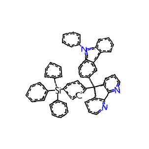 c1ccc(-n2c3ccccc3c3cc(C4(c5ccc([Si](c6ccccc6)(c6ccccc6)c6ccccc6)cc5)c5cccnc5-c5ncccc54)ccc32)cc1